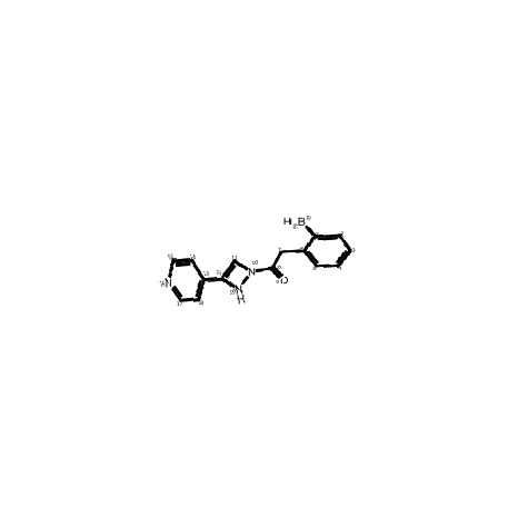 Bc1ccccc1CC(=O)n1cc(-c2ccncc2)[nH]1